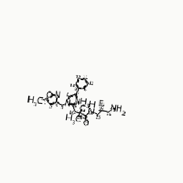 Cc1cc(Cn2cc(-c3ccccc3)nc2[CH]C(C)(C)C(=O)NC[C@H](F)CN)no1